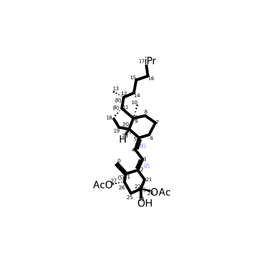 C=C1/C(=C\C=C2/CCC[C@]3(C)[C@@H]([C@H](C)CCCC(C)C)CC[C@@H]23)C[C@@](O)(OC(C)=O)C[C@@H]1OC(C)=O